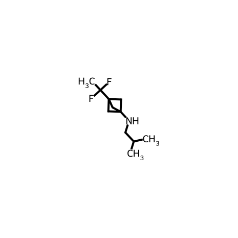 CC(C)CNC12CC(C(C)(F)F)(C1)C2